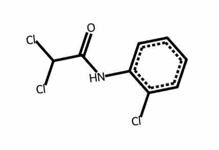 O=C(Nc1ccccc1Cl)C(Cl)Cl